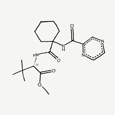 COC(=O)[C@@H](NC(=O)C1(NC(=O)c2cnccn2)CCCCC1)C(C)(C)C